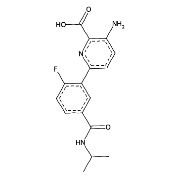 CC(C)NC(=O)c1ccc(F)c(-c2ccc(N)c(C(=O)O)n2)c1